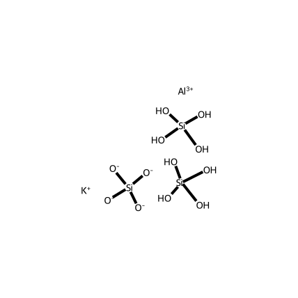 O[Si](O)(O)O.O[Si](O)(O)O.[Al+3].[K+].[O-][Si]([O-])([O-])[O-]